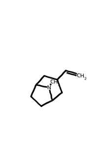 C=CC1CC2CCC(C1)N2C